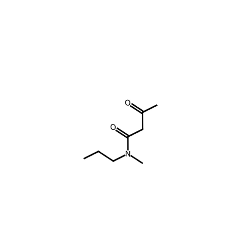 CCCN(C)C(=O)CC(C)=O